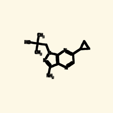 CC(C)(O)Cn1nc(N)c2ncc(C3CC3)nc21